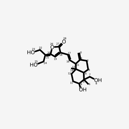 C=C1CCC2C(C)(CO)C(O)CCC2(C)C1/C=C/C1=CC(=C(CO)CO)OC1=O